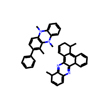 CC1CC=CC2=c3nc4c(nc3C3C=CC=CC3=C21)=CC=CC4C.Cc1c(-c2ccccc2)ccc2c1N(C)c1ccccc1N2C